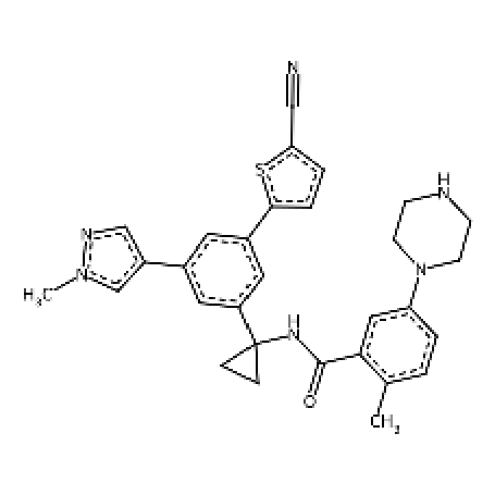 Cc1ccc(N2CCNCC2)cc1C(=O)NC1(c2cc(-c3cnn(C)c3)cc(-c3ccc(C#N)s3)c2)CC1